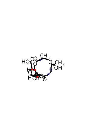 C/C1=C\C(=O)OCC23CCC(C(=O)O)=C[C@H]2O[C@H]2C[C@@H](OC(=O)/C=C\C=C\C([C@@H](C)O)OCC1)[C@@]3(C)C21CO1